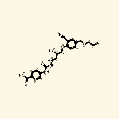 N#Cc1cc(COCCF)ccc1OCC(O)CNNC(=O)Nc1ccc(C(=O)O)nc1